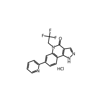 Cl.O=c1c2cn[nH]c2c2ccc(-c3ccccn3)cc2n1CC(F)(F)F